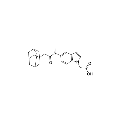 O=C(O)Cn1ccc2cc(NC(=O)CC34CC5CC(CC(C5)C3)C4)ccc21